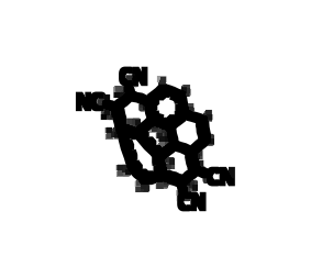 N#CC1=C2C=Cc3ccc4c5c3C2c2c-5c(ccc2=C1C#N)=C(C#N)C4C#N